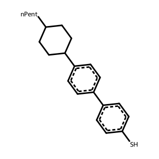 CCCCCC1CCC(c2ccc(-c3ccc(S)cc3)cc2)CC1